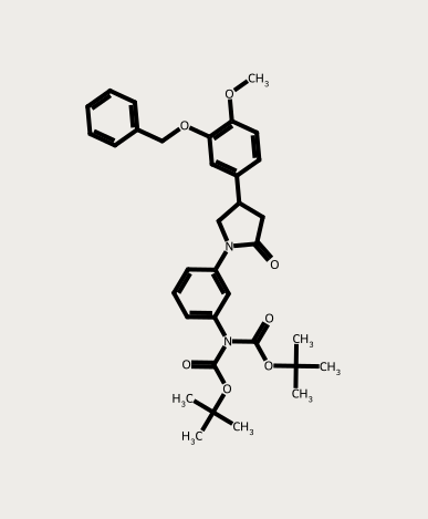 COc1ccc(C2CC(=O)N(c3cccc(N(C(=O)OC(C)(C)C)C(=O)OC(C)(C)C)c3)C2)cc1OCc1ccccc1